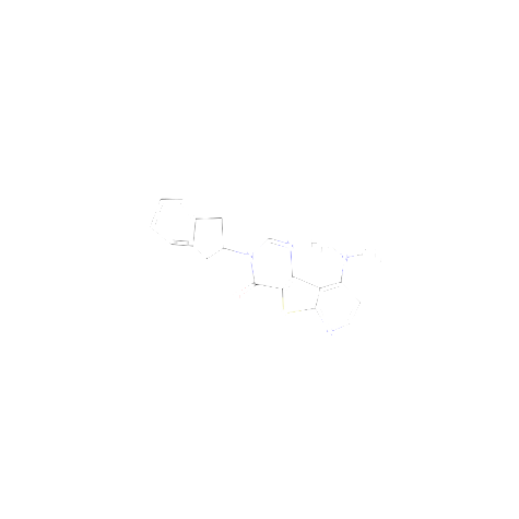 CN(C)c1ccnc2sc3c(=O)n(C4Cc5ccccc5C4)cnc3c12